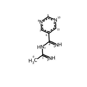 CC(=N)NC(=N)c1cncnc1